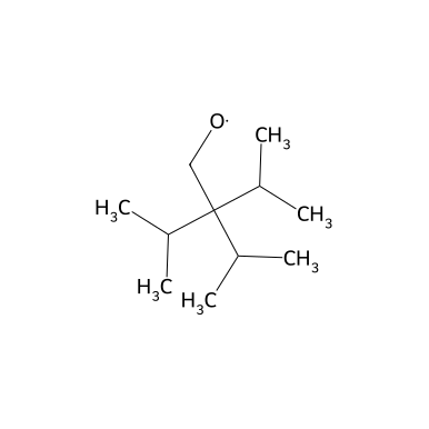 CC(C)C(C[O])(C(C)C)C(C)C